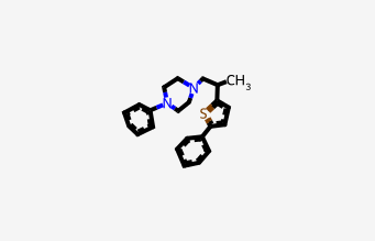 CC(CN1CCN(c2ccccc2)CC1)c1ccc(-c2ccccc2)s1